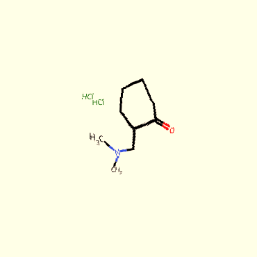 CN(C)CC1CCCCC1=O.Cl.Cl